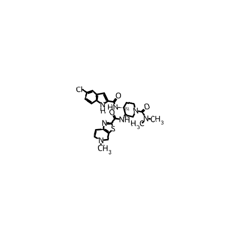 CN1CCc2nc(C(=O)N[C@@H]3CN(C(=O)N(C)C)CC[C@@H]3NC(=O)c3cc4cc(Cl)ccc4[nH]3)sc2C1